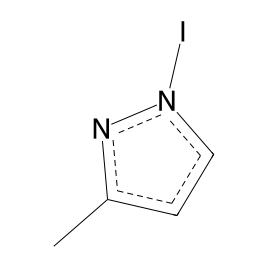 Cc1ccn(I)n1